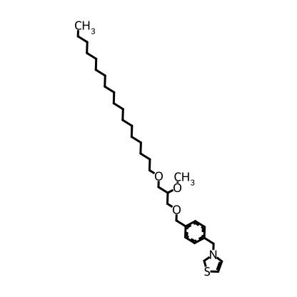 CCCCCCCCCCCCCCCCCCOCC(COCc1ccc(CN2C=CSC2)cc1)OC